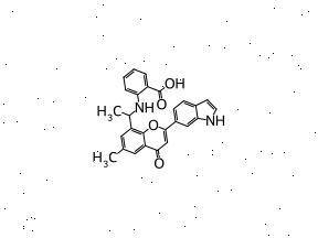 Cc1cc(C(C)Nc2ccccc2C(=O)O)c2oc(-c3ccc4cc[nH]c4c3)cc(=O)c2c1